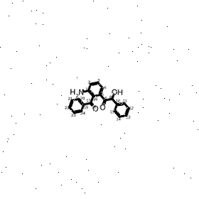 Nc1cccc(C(=O)C(O)c2ccccc2)c1C(=O)c1ccccc1